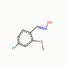 CSc1cc(Cl)ccc1/C=N/O